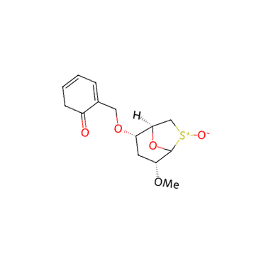 CO[C@@H]1C[C@H](OCC2=CC=CCC2=O)[C@H]2C[S+]([O-])C1O2